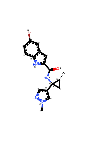 C[C@@H]1C[C@]1(NC(=O)c1cc2cc(Br)ccc2[nH]1)c1cnn(C)c1